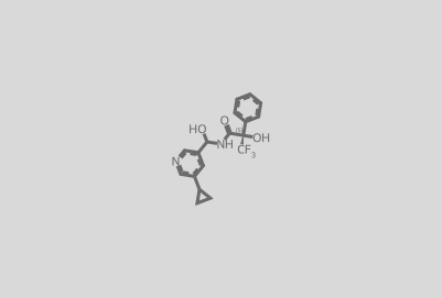 O=C(NC(O)c1cncc(C2CC2)c1)[C@@](O)(c1ccccc1)C(F)(F)F